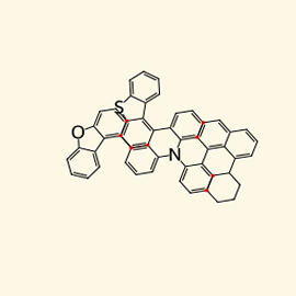 c1cc(-c2cccc3oc4ccccc4c23)cc(N(c2ccccc2-c2cccc3cccc(C4CCCCC4)c23)c2ccccc2-c2cccc3sc4ccccc4c23)c1